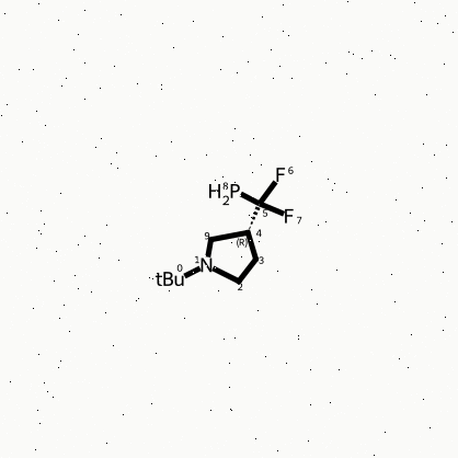 CC(C)(C)N1CC[C@@H](C(F)(F)P)C1